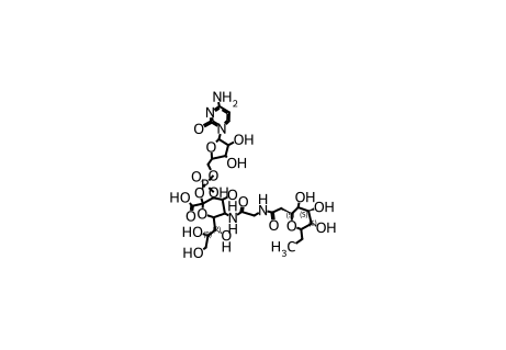 CCC1O[C@@H](CC(=O)NCC(=O)NC2C(O)CC(OP(=O)(O)OCC3OC(n4ccc(N)nc4=O)C(O)C3O)(C(=O)O)OC2[C@H](O)[C@H](O)CO)C(O)[C@@H](O)[C@@H]1O